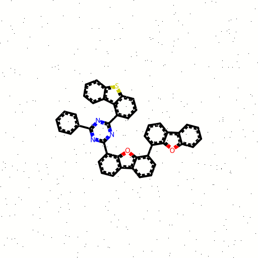 c1ccc(-c2nc(-c3cccc4c3oc3c(-c5cccc6c5oc5ccccc56)cccc34)nc(-c3cccc4sc5ccccc5c34)n2)cc1